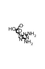 Nc1nc(N)c2ncn([C@H]3C[C@H](O)[C@@H](C[O])O3)c2n1